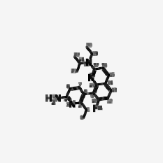 CCc1nc(N)ccc1-c1c(F)ccc2ccc(N(CC)C(C)C)nc12